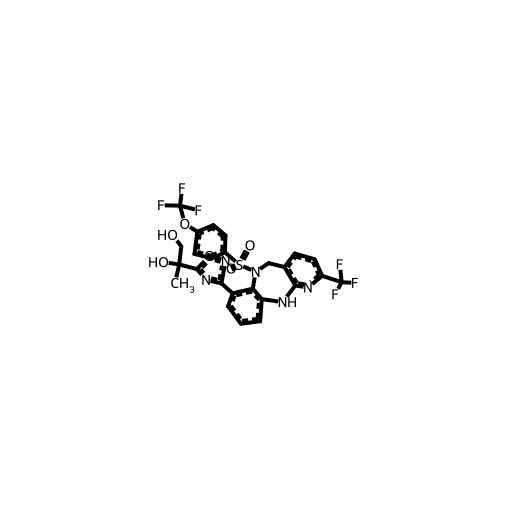 CC(O)(CO)c1nc(-c2cccc3c2N(S(=O)(=O)c2ccc(OC(F)(F)F)cc2)Cc2ccc(C(F)(F)F)nc2N3)no1